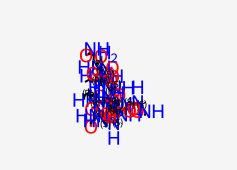 CC[C@@H](C)[C@H](C=O)N[C@H](NC(=O)[C@@H](NC(=O)[C@@H](NC(=O)[C@@H](NC(=O)[C@@H](NC(=O)[C@H](C)N)N[C@@H](C=O)CCC(N)=O)N[C@@H](C=O)CC(C)C)N[C@@H](C)C=O)N[C@@H](C=O)[C@H](C)CC)C(=O)N[C@H](NCC=O)C(=O)N[C@@H](C)C(=O)N[C@@H](C)C(=O)N[C@@H](N[C@@H](C=O)[C@H](C)CC)C(=O)N[C@@H](C)C(=O)N[C@@H](C)C(=O)NC